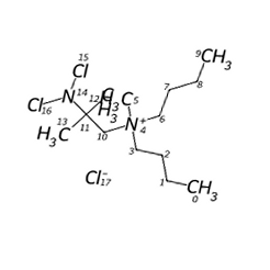 CCCC[N+](C)(CCCC)CC(C)(C)N(Cl)Cl.[Cl-]